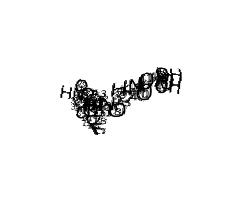 O=C(Nc1ccc(C(=O)N[C@@H](Cc2cccc(F)c2)C(=O)N2CCCC3(C2)OC(=O)Nc2ccc(Cl)c(F)c23)cc1)OCCP(=O)(O)O